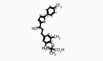 Cc1cc(CCC(O)c2ccc(-c3ccc(C(F)(F)F)cc3)s2)cc(C)c1OC(C)(C)C(=O)O